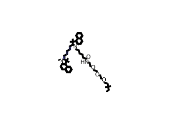 CCC(C)(C)CCOCCOCCOCCNC(=O)CCCCC[N+]1=C(/C=C/C=C/C=C2/N(C)c3ccc4ccccc4c3C2(C)C)C(C)(C)c2c1ccc1ccccc21